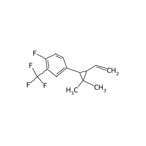 C=CC1C(c2ccc(F)c(C(F)(F)F)c2)C1(C)C